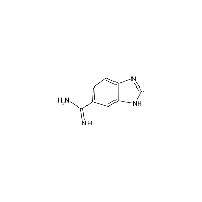 N=C(N)c1ccc2n[c][nH]c2c1